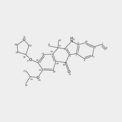 C=Cc1ccc2c3c([nH]c2c1)C(C)(C)c1cc(OC2CCOC2)c(OC(C)C)cc1C3=O